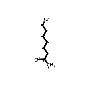 CC(Cl)CCCCCCCl